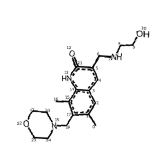 Cc1cc2cc(CNCCO)c(=O)[nH]c2c(C)c1CN1CCOCC1